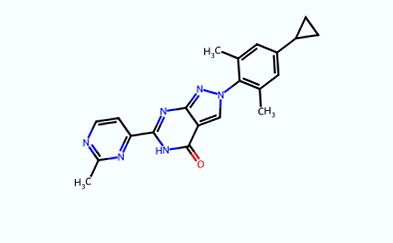 Cc1nccc(-c2nc3nn(-c4c(C)cc(C5CC5)cc4C)cc3c(=O)[nH]2)n1